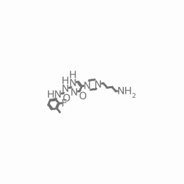 Cc1cccc(NC(=O)Nc2nc(=O)c(N3CCN(CCCCN)CC3)c[nH]2)c1F